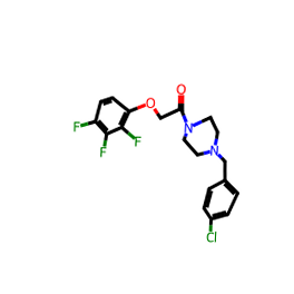 O=C(COc1ccc(F)c(F)c1F)N1CCN(Cc2ccc(Cl)cc2)CC1